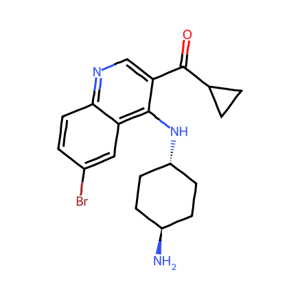 N[C@H]1CC[C@H](Nc2c(C(=O)C3CC3)cnc3ccc(Br)cc23)CC1